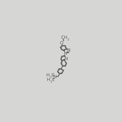 CCOc1ccc2c(c1)ncn2-c1ccc2cc(-c3ccc(CN(C)C)cc3)ccc2n1